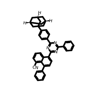 N#Cc1cccc2c(-c3nc(-c4ccccc4)nc(-c4ccc(C56C[C@H]7C[C@@H](C5)C[C@@H](C6)C7)cc4)n3)ccc(-c3ccccc3)c12